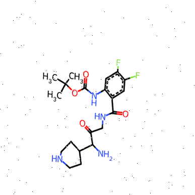 CC(C)(C)OC(=O)Nc1cc(F)c(F)cc1C(=O)NCC(=O)C(N)C1CCNCC1